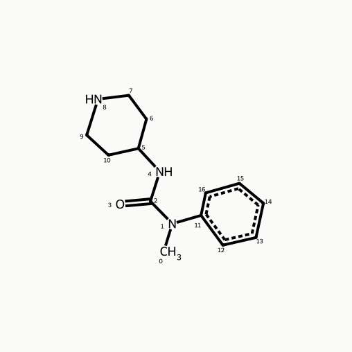 CN(C(=O)NC1CCNCC1)c1ccccc1